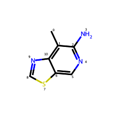 Cc1c(N)ncc2scnc12